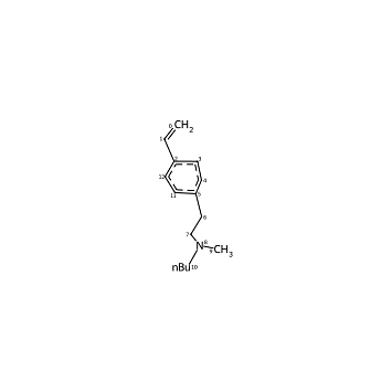 C=Cc1ccc(CCN(C)CCCC)cc1